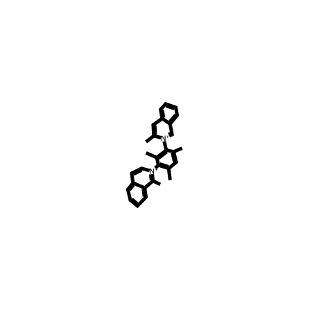 Cc1cc(C)c(-[n+]2ccc3ccccc3c2C)c(C)c1-[n+]1cc2ccccc2cc1C